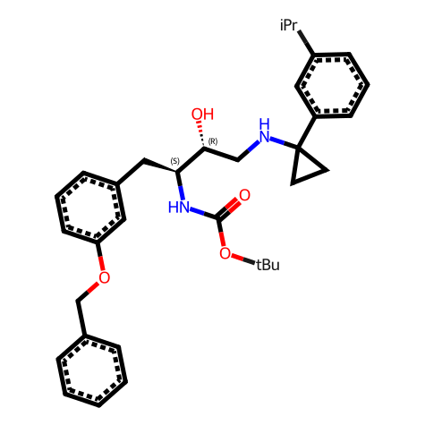 CC(C)c1cccc(C2(NC[C@@H](O)[C@H](Cc3cccc(OCc4ccccc4)c3)NC(=O)OC(C)(C)C)CC2)c1